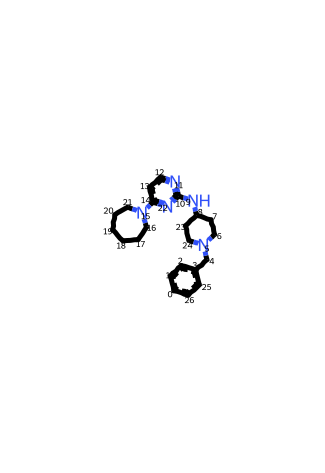 c1ccc(CN2CCC(Nc3nccc(N4CCCCCC4)n3)CC2)cc1